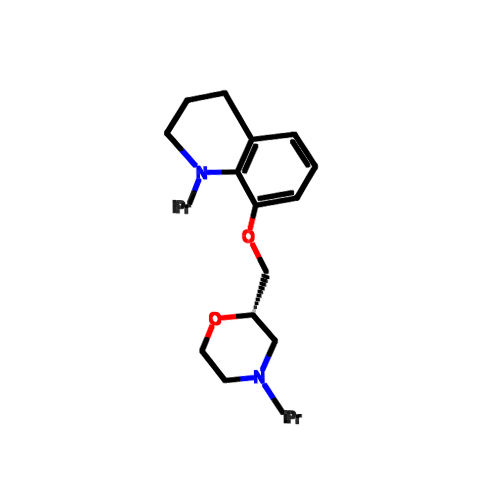 CC(C)N1CCO[C@H](COc2cccc3c2N(C(C)C)CCC3)C1